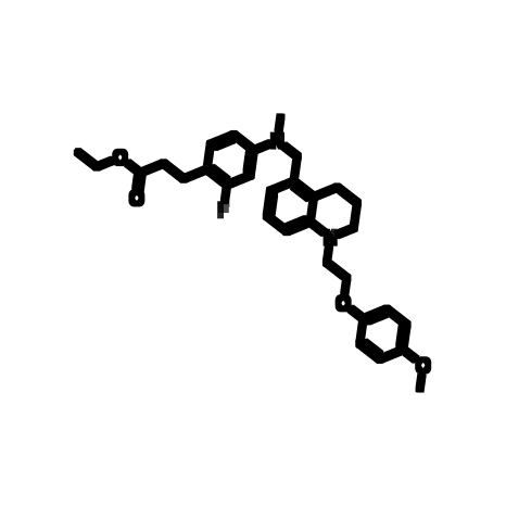 CCOC(=O)CCc1ccc(N(C)Cc2cccc3c2CCCN3CCOc2ccc(OC)cc2)cc1F